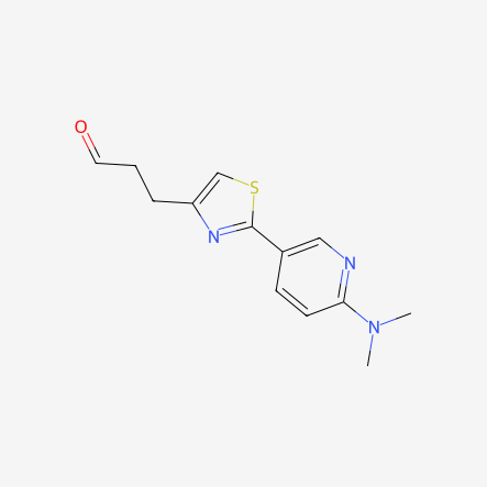 CN(C)c1ccc(-c2nc(CCC=O)cs2)cn1